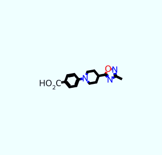 Cc1noc(C2CCN(c3ccc(C(=O)O)cc3)CC2)n1